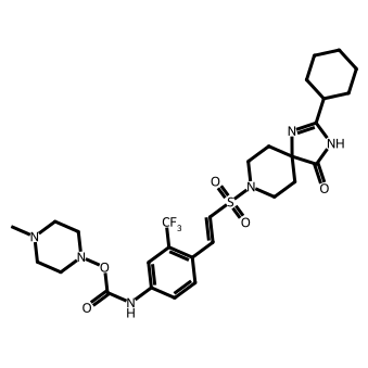 CN1CCN(OC(=O)Nc2ccc(/C=C/S(=O)(=O)N3CCC4(CC3)N=C(C3CCCCC3)NC4=O)c(C(F)(F)F)c2)CC1